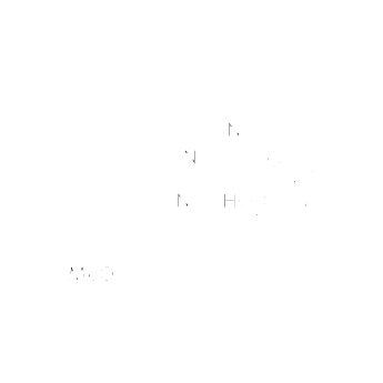 COCC1CCN(c2cc(OC3(C(=O)O)CC3)nc(C)n2)CC1